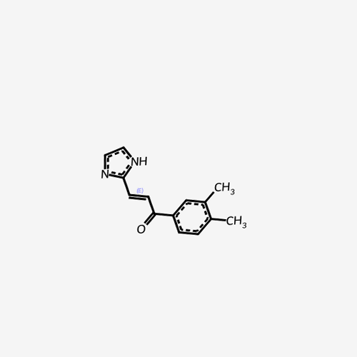 Cc1ccc(C(=O)/C=C/c2ncc[nH]2)cc1C